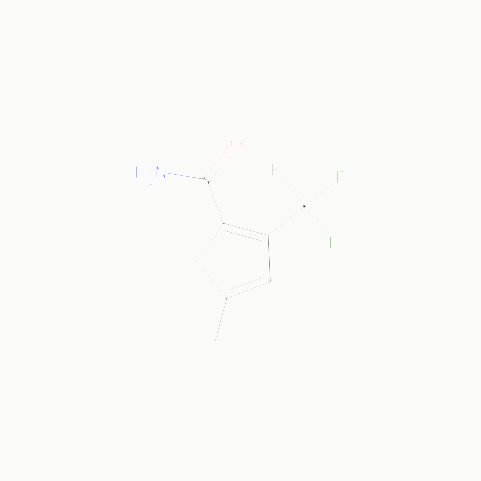 Cc1cc(C(F)(F)F)c(C(N)=O)s1